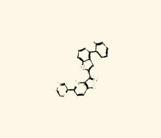 Fc1ccccc1-c1cccc2[nH]c(-c3n[nH]c4ccc(-c5cnccn5)nc34)cc12